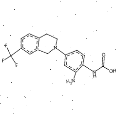 Nc1cc(N2CCc3ccc(C(F)(F)F)cc3C2)ccc1NC(=O)O